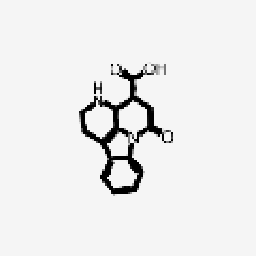 O=C(O)C1CC(=O)n2c3c(c4ccccc42)CCNC31